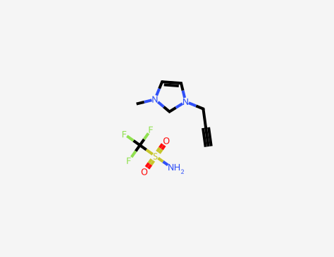 C#CCN1C=CN(C)C1.NS(=O)(=O)C(F)(F)F